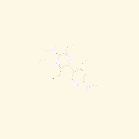 CCc1cc(N(C)CC)ncc1-c1nc(CC)c(NC(CC)CC)nc1CC